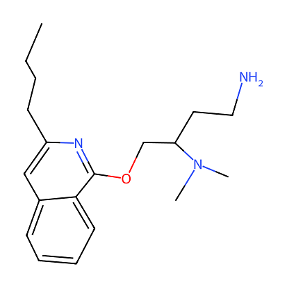 CCCCc1cc2ccccc2c(OCC(CCN)N(C)C)n1